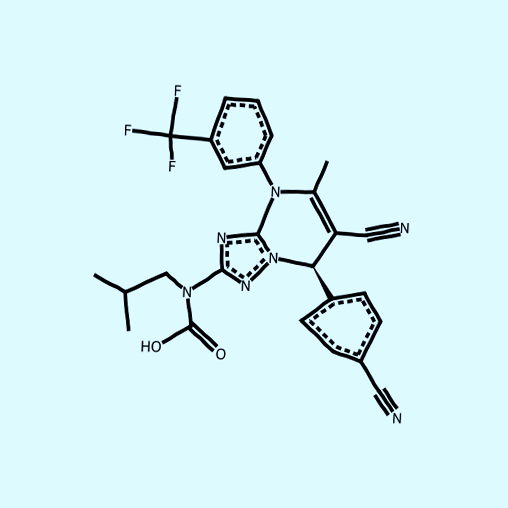 CC1=C(C#N)[C@@H](c2ccc(C#N)cc2)n2nc(N(CC(C)C)C(=O)O)nc2N1c1cccc(C(F)(F)F)c1